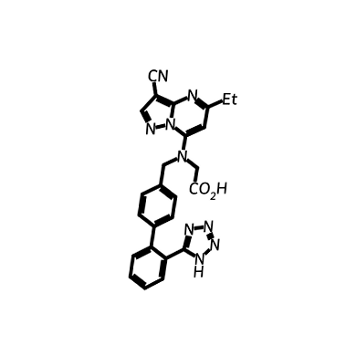 CCc1cc(N(CC(=O)O)Cc2ccc(-c3ccccc3-c3nnn[nH]3)cc2)n2ncc(C#N)c2n1